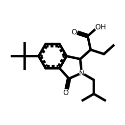 CCC(C(=O)O)C1c2ccc(C(C)(C)C)cc2C(=O)N1CC(C)C